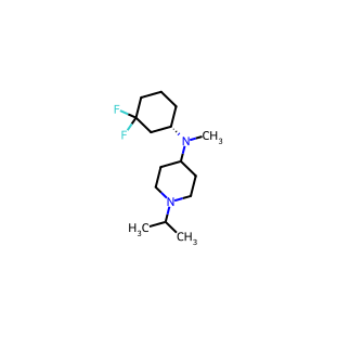 CC(C)N1CCC(N(C)[C@H]2CCCC(F)(F)C2)CC1